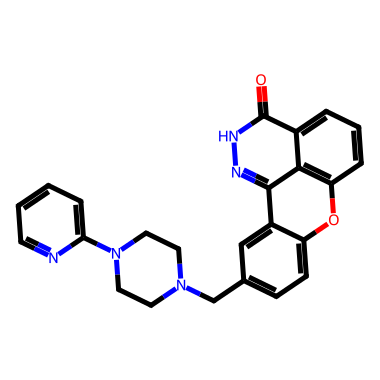 O=c1[nH]nc2c3c(cccc13)Oc1ccc(CN3CCN(c4ccccn4)CC3)cc1-2